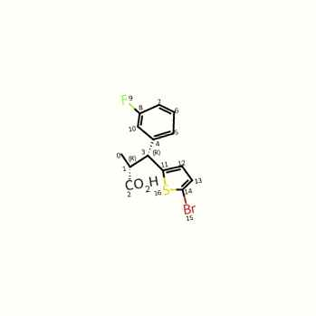 C[C@@H](C(=O)O)[C@H](c1cccc(F)c1)c1ccc(Br)s1